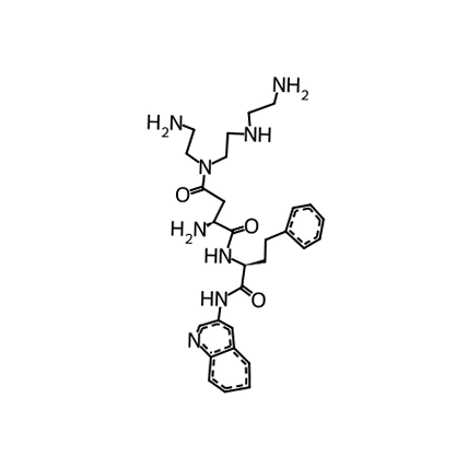 NCCNCCN(CCN)C(=O)C[C@H](N)C(=O)N[C@@H](CCc1ccccc1)C(=O)Nc1cnc2ccccc2c1